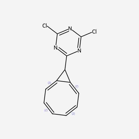 Clc1nc(Cl)nc(C2C3=C/C=C\C=C/C=C\32)n1